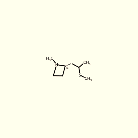 CSC(C)C[C@@H]1CCN1C